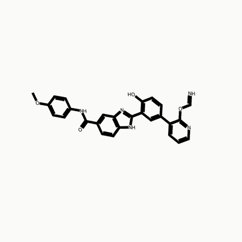 COc1ccc(NC(=O)c2ccc3[nH]c(-c4cc(-c5cccnc5OC=N)ccc4O)nc3c2)cc1